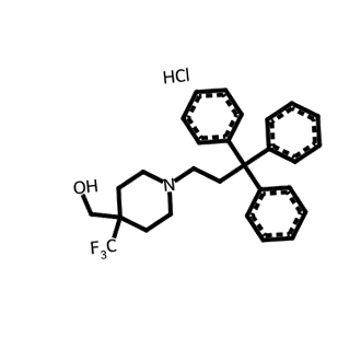 Cl.OCC1(C(F)(F)F)CCN(CCC(c2ccccc2)(c2ccccc2)c2ccccc2)CC1